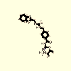 C=C(CF)S/C(=N\N)NC(=O)c1ccc(CNC(=O)OCc2nc3ccccc3s2)cc1